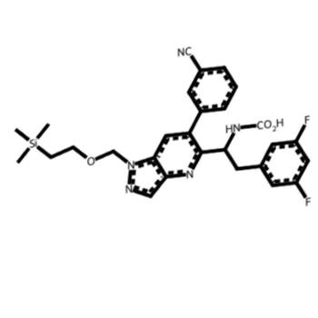 C[Si](C)(C)CCOCn1ncc2nc(C(Cc3cc(F)cc(F)c3)NC(=O)O)c(-c3cccc(C#N)c3)cc21